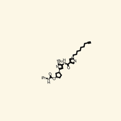 C#CCCCCCCCn1cc(C(=O)Nc2cc([C@H]3CC[C@@H](OC(=O)NC(C)C)C3)nn2C(C)(C)C)cn1